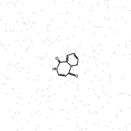 O=C1NC=CC(=O)N2CC=CC=C12